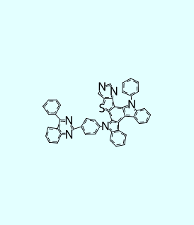 c1ccc(-c2nc(-c3ccc(-n4c5ccccc5c5c6c7ccccc7n(-c7ccccc7)c6c6c7ncncc7sc6c54)cc3)nc3ccccc23)cc1